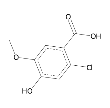 COc1cc(C(=O)O)c(Cl)cc1O